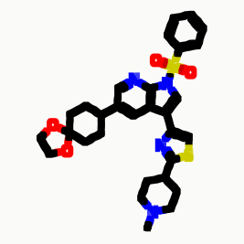 CN1CCC(c2nc(-c3cn(S(=O)(=O)c4ccccc4)c4ncc(C5CCC6(CC5)OCCO6)cc34)cs2)CC1